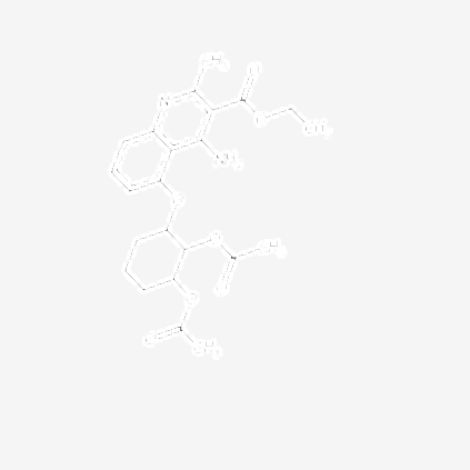 CCOC(=O)c1c(C)nc2cccc(OC3CCCC(OC(C)=O)C3OC(C)=O)c2c1N